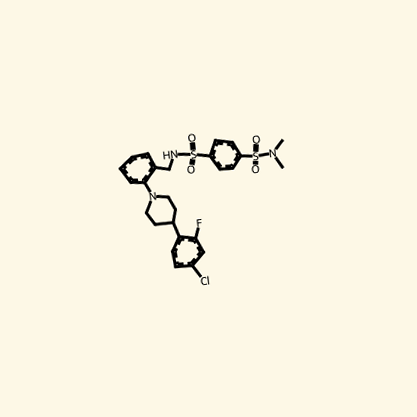 CN(C)S(=O)(=O)c1ccc(S(=O)(=O)NCc2ccccc2N2CCC(c3ccc(Cl)cc3F)CC2)cc1